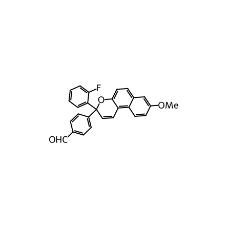 COc1ccc2c3c(ccc2c1)OC(c1ccc(C=O)cc1)(c1ccccc1F)C=C3